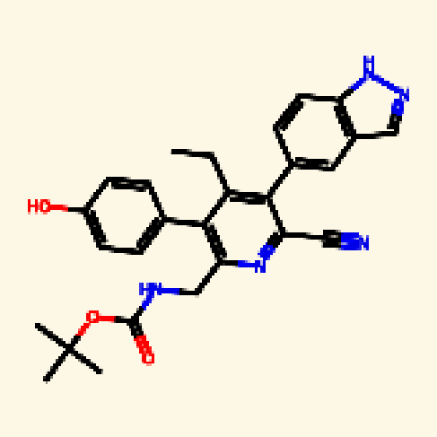 CCc1c(-c2ccc3[nH]ncc3c2)c(C#N)nc(CNC(=O)OC(C)(C)C)c1-c1ccc(O)cc1